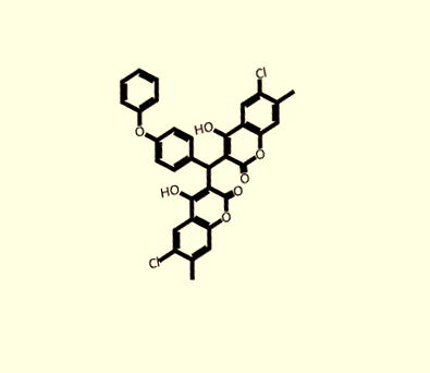 Cc1cc2oc(=O)c(C(c3ccc(Oc4ccccc4)cc3)c3c(O)c4cc(Cl)c(C)cc4oc3=O)c(O)c2cc1Cl